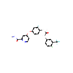 CNC(=O)c1cc(Oc2ccc([AsH]C(=O)[AsH]c3ccc(Cl)c(C(F)(F)F)c3)c(F)c2)ccn1